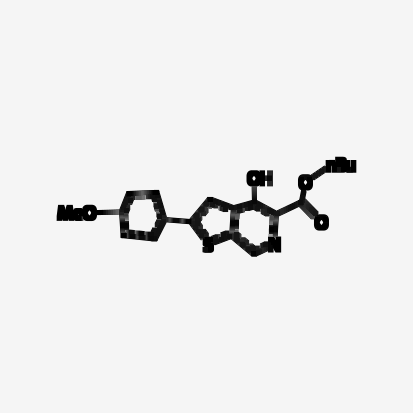 CCCCOC(=O)c1ncc2sc(-c3ccc(OC)cc3)cc2c1O